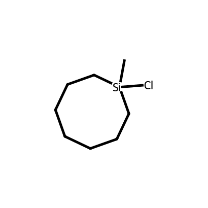 C[Si]1(Cl)CCCCCCC1